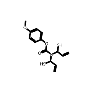 C=CC(S)N(C(=O)Oc1ccc(OC)cc1)C(S)C=C